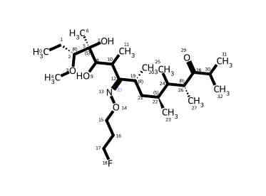 CC[C@@H](OC)[C@@](C)(O)C(O)C(C)/C(=N/OCCCF)[C@H](C)C[C@H](C)C(C)[C@@H](C)C(=O)C(C)C